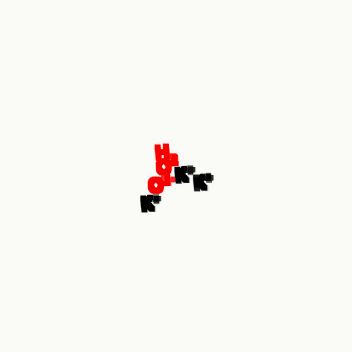 O.[K+].[K+].[K+].[O-2]